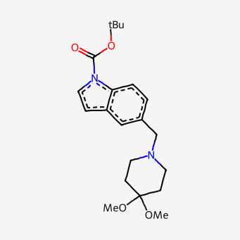 COC1(OC)CCN(Cc2ccc3c(ccn3C(=O)OC(C)(C)C)c2)CC1